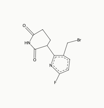 O=C1CCC(c2nc(F)ccc2CBr)C(=O)N1